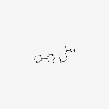 O=C(O)c1ccnc(-c2ccc(-c3ccccc3)cn2)c1